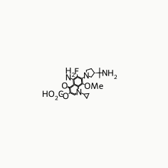 COc1c(N2CC[C@@H](C(C)(C)N)C2)c(F)c(N)c2c(=O)c(OC(=O)O)cn(C3CC3)c12